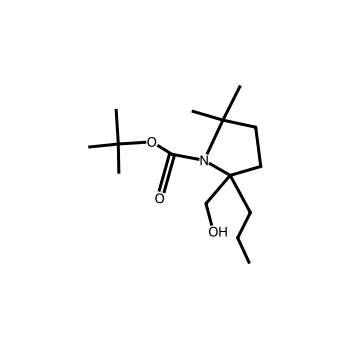 CCCC1(CO)CCC(C)(C)N1C(=O)OC(C)(C)C